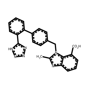 Cc1nc2cccc(C(=O)O)c2n1Cc1ccc(-c2ccccc2-c2nnn[nH]2)cc1